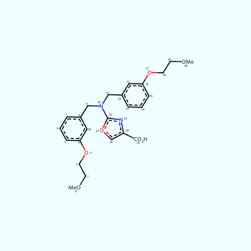 COCCOc1cccc(CN(Cc2cccc(OCCOC)c2)c2nc(C(=O)O)co2)c1